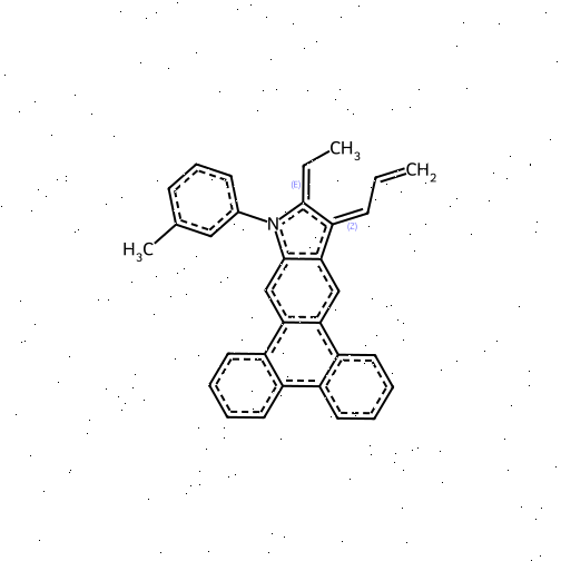 C=C/C=c1\c(=C/C)n(-c2cccc(C)c2)c2cc3c4ccccc4c4ccccc4c3cc12